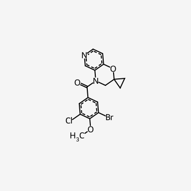 COc1c(Cl)cc(C(=O)N2CC3(CC3)Oc3ccncc32)cc1Br